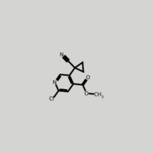 COC(=O)c1cc(Cl)ncc1C1(C#N)CC1